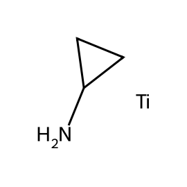 NC1CC1.[Ti]